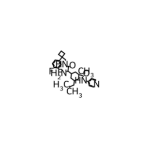 CC(C)CC1CC(C(N)C(=O)NCC2(c3ccc(F)c(F)c3)CCC2)CC(C)(C(=O)Nc2ccncc2)C1